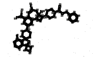 Cc1ccnc2c1C1(CCN(c3cc4c(c(C(F)F)n3)C=C(F)C[C@H]3[C@H](N5CCN(C(=O)OCc6ccccc6)CC5)CN43)CC1)OC21COC1